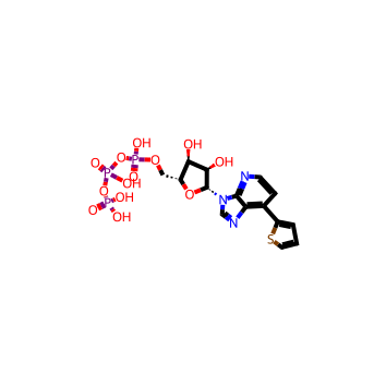 O=P(O)(O)OP(=O)(O)OP(=O)(O)OC[C@H]1O[C@@H](n2cnc3c(-c4cccs4)ccnc32)[C@H](O)[C@@H]1O